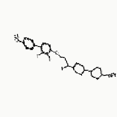 CCCC1CCC(C2CCC(C(F)CCOc3ccc(-c4ccc(OCC)cc4)c(F)c3F)CC2)CC1